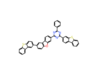 c1ccc(-c2nc(-c3ccc4c(c3)oc3ccc(-c5ccc6sc7ccccc7c6c5)cc34)nc(-c3ccc4c(c3)sc3ccccc34)n2)cc1